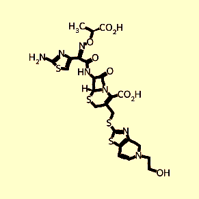 C[C@H](O/N=C(\C(=O)NC1C(=O)N2C(C(=O)O)=C(CSc3nc4c(s3)C=CN(CCO)C4)CS[C@H]12)c1csc(N)n1)C(=O)O